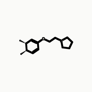 C[C@@H]1C=C(OCCN2CCCC2)C=C[C@@H]1C